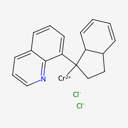 [Cl-].[Cl-].[Cr+2][C]1(c2cccc3cccnc23)CCC2C=CC=CC21